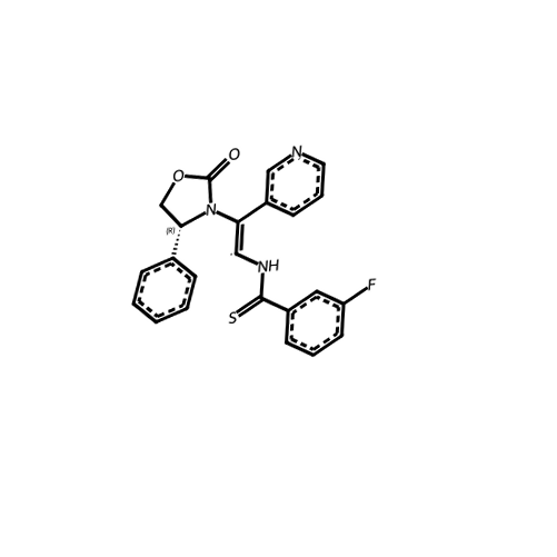 O=C1OC[C@@H](c2ccccc2)N1C(=[C]NC(=S)c1cccc(F)c1)c1cccnc1